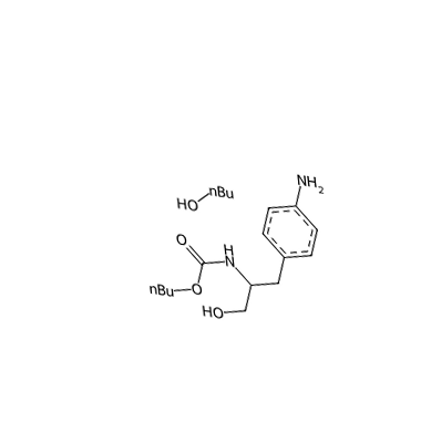 CCCCO.CCCCOC(=O)NC(CO)Cc1ccc(N)cc1